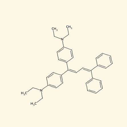 CCN(CC)c1ccc(C(=CC=C(c2ccccc2)c2ccccc2)c2ccc(N(CC)CC)cc2)cc1